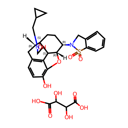 O=C(O)C(O)C(O)C(=O)O.O=S1(=O)c2ccccc2CN1[C@@H]1CC[C@@]2(O)[C@H]3Cc4ccc(O)c5c4[C@@]2(CCN3CC2CC2)[C@H]1O5